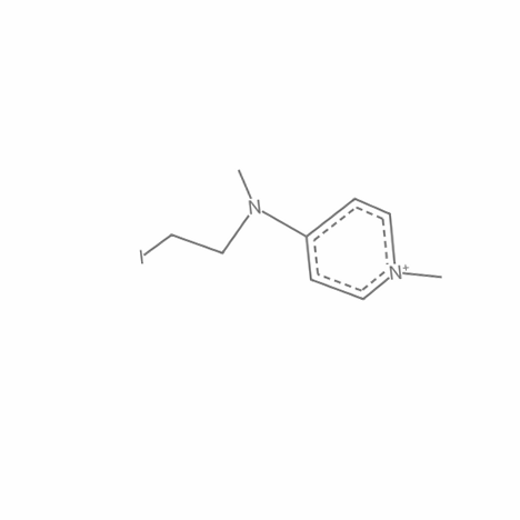 CN(CCI)c1cc[n+](C)cc1